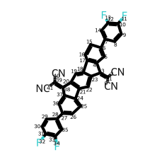 N#CC(C#N)=C1c2cc(-c3ccc(F)c(F)c3)ccc2-c2cc3c(cc21)-c1ccc(-c2ccc(F)c(F)c2)cc1C3=C(C#N)C#N